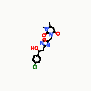 Cc1cc(=O)n(Cc2nc(C[C@H](O)c3ccc(Cl)cc3)no2)c(=O)n1C